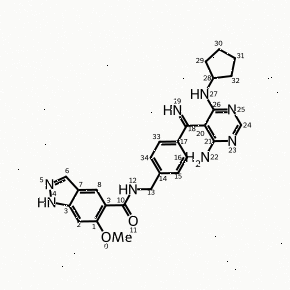 COc1cc2[nH]ncc2cc1C(=O)NCc1ccc(C(=N)c2c(N)ncnc2NC2CCCC2)cc1